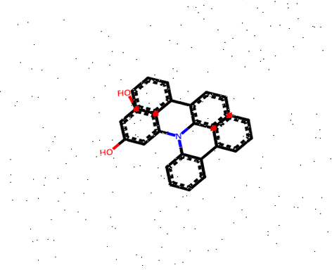 Oc1cc(O)cc(N(c2ccccc2-c2ccccc2)c2ccccc2-c2ccccc2)c1